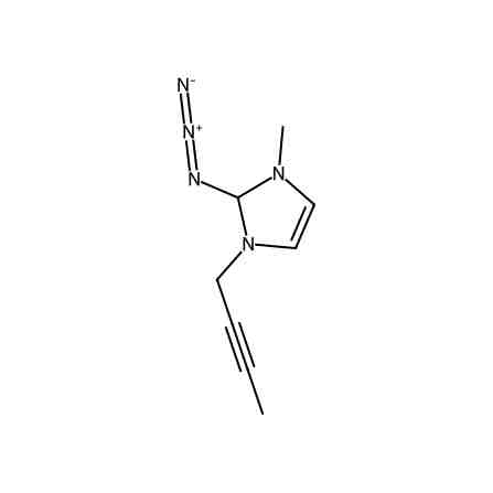 CC#CCN1C=CN(C)C1N=[N+]=[N-]